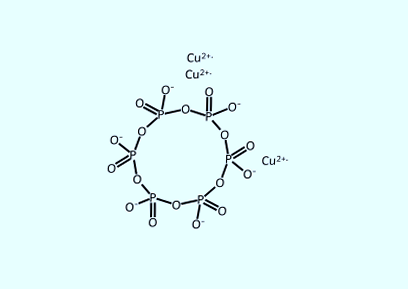 O=P1([O-])OP(=O)([O-])OP(=O)([O-])OP(=O)([O-])OP(=O)([O-])OP(=O)([O-])O1.[Cu+2].[Cu+2].[Cu+2]